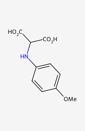 COc1ccc(NC(C(=O)O)C(=O)O)cc1